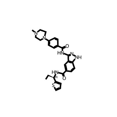 CC[C@@H](NC(=O)c1ccc2[nH]nc(NC(=O)c3ccc(N4CCN(C)CC4)cc3)c2c1)c1cccs1